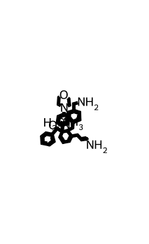 CN(C)C1(Cc2ccc(CN)cc2)C(CC=CN)=CC=CC1(C(=O)c1ccccc1)c1ccc(N2CCOCC2)cc1